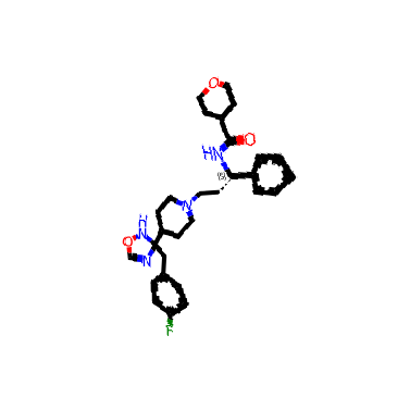 O=C(N[C@@H](CCN1CCC(C2(Cc3ccc(F)cc3)N=CON2)CC1)c1ccccc1)C1CCOCC1